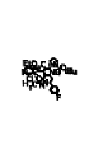 CCOC(=O)C1=C([C@@H]2CCCN2C(=O)OC(C)(C)C)NC(CCc2ccc(F)cc2)=C(c2nnc(C)o2)C1c1cc2ccnc(Cl)c2s1